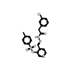 Cc1ccc(S(=O)(=O)Oc2cnccc2C=NNC(=O)Cc2cccc(Cl)c2)cc1